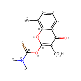 CCCc1cccc2c(=O)c(C(=O)O)c(OC(=S)N(C)C)oc12